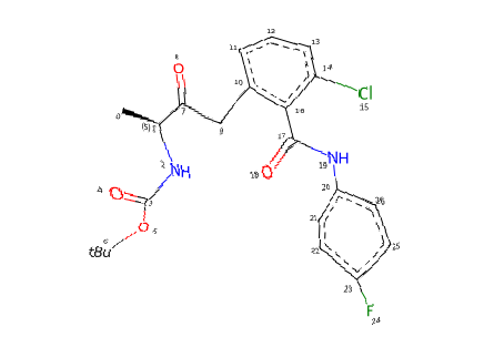 C[C@H](NC(=O)OC(C)(C)C)C(=O)Cc1cccc(Cl)c1C(=O)Nc1ccc(F)cc1